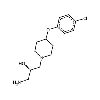 NC[C@@H](O)CN1CCC(Oc2ccc(Cl)cc2)CC1